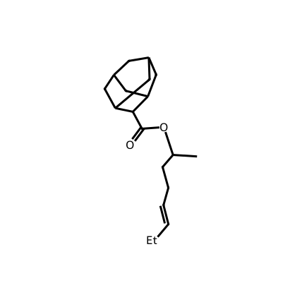 CCC=CCCC(C)OC(=O)C1C2CC3CC(C2)CC1C3